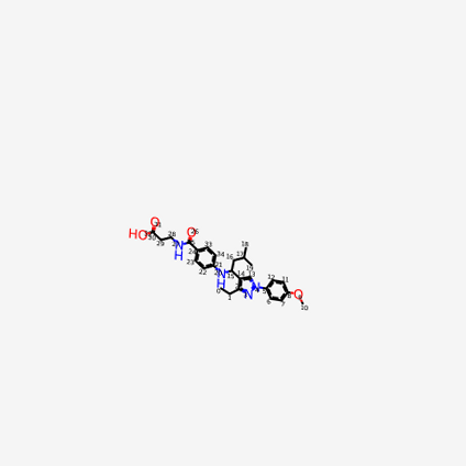 CCc1nn(-c2ccc(OC)cc2)cc1C(CC(C)C)Nc1ccc(C(=O)NCCC(=O)O)cc1